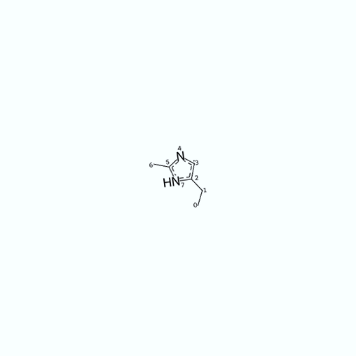 CCc1[c]nc(C)[nH]1